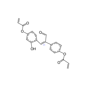 C=CC(=O)Oc1ccc(/C(C=O)=C/c2ccc(OC(=O)C=C)cc2O)cc1